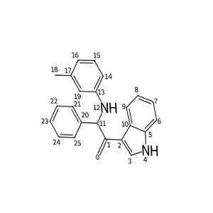 C=C(c1c[nH]c2ccccc12)C(Nc1cccc(C)c1)c1ccccc1